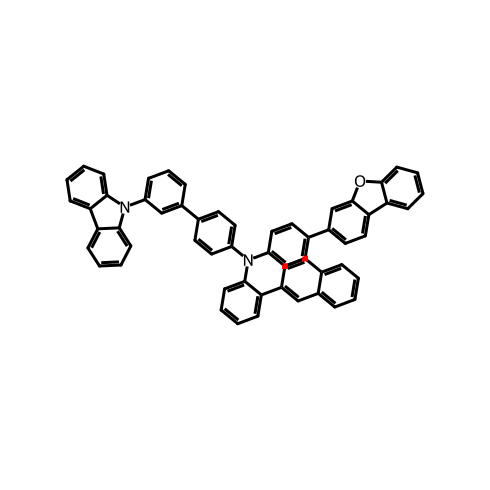 c1cc(-c2ccc(N(c3ccc(-c4ccc5c(c4)oc4ccccc45)cc3)c3ccccc3-c3ccc4ccccc4c3)cc2)cc(-n2c3ccccc3c3ccccc32)c1